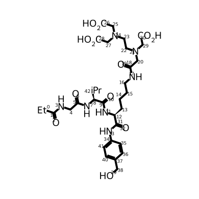 CCC(=O)NCC(=O)N[C@H](C(=O)N[C@@H](CCCCNC(=O)CN(CCN(CC(=O)O)CC(=O)O)CC(=O)O)C(=O)Nc1ccc(CO)cc1)C(C)C